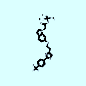 CC(C)(C)OC(=O)Cn1ccc2ccc(OCCc3csc(-c4ccc(C(F)(F)F)cc4)n3)cc21